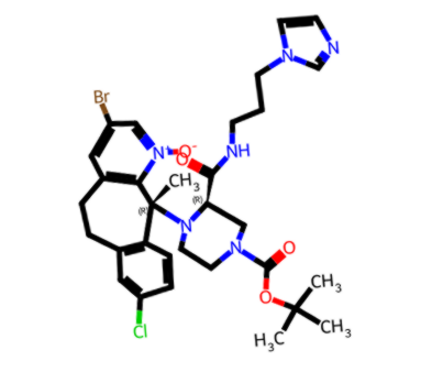 CC(C)(C)OC(=O)N1CCN([C@]2(C)c3ccc(Cl)cc3CCc3cc(Br)c[n+]([O-])c32)[C@@H](C(=O)NCCCn2ccnc2)C1